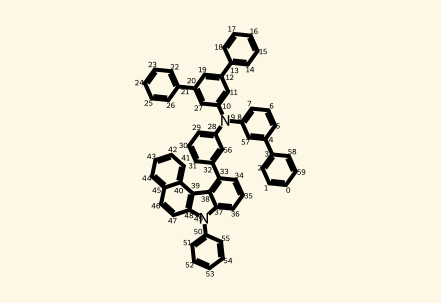 c1ccc(-c2cccc(N(c3cc(-c4ccccc4)cc(-c4ccccc4)c3)c3cccc(-c4cccc5c4c4c6ccccc6ccc4n5-c4ccccc4)c3)c2)cc1